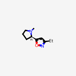 CCc1cc([C@H]2CCCN2C)on1